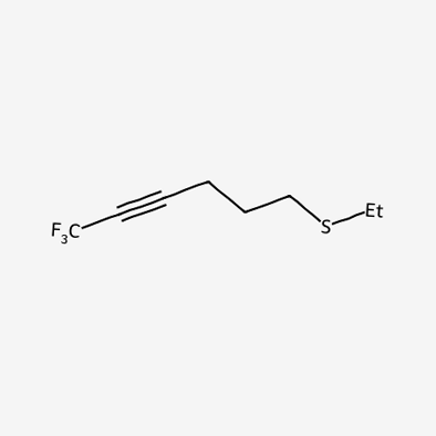 [CH2]CSCCCC#CC(F)(F)F